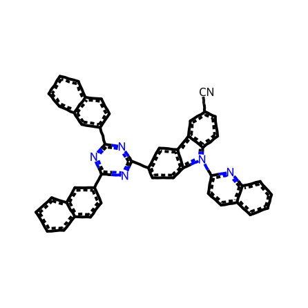 N#Cc1ccc2c(c1)c1cc(-c3nc(-c4ccc5ccccc5c4)nc(-c4ccc5ccccc5c4)n3)ccc1n2-c1ccc2ccccc2n1